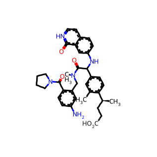 Cc1cc(C(Nc2ccc3cc[nH]c(=O)c3c2)C(=O)N(C)Cc2cc(N)ccc2C(=O)N2CCCC2)ccc1[C@@H](C)CCC(=O)O